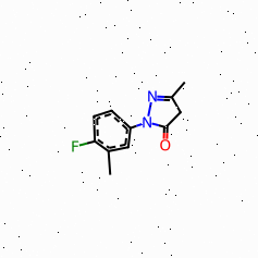 CC1=NN(c2ccc(F)c(C)c2)C(=O)C1